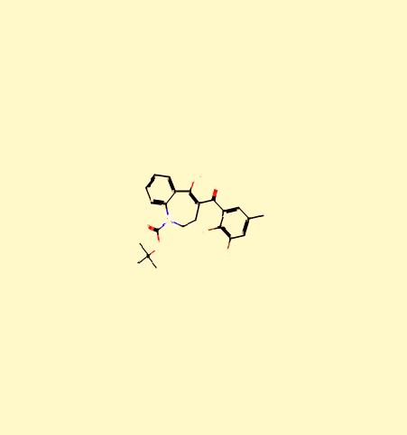 Cc1cc(Br)c(Br)c(C(=O)C2=C(O)c3ccccc3N(C(=O)OC(C)(C)C)CC2)c1